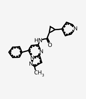 Cc1cc2nc(NC(=O)C3CC3c3ccncc3)cc(-c3ccccc3)n2n1